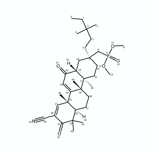 CCC(C)(C)CC[C@]1(CP(=O)(OC)OC)CC[C@]2(C)[C@@H](C1)C(=O)C=C1[C@@]3(C)C=C(C#N)C(=O)C(C)(C)[C@@H]3CC[C@]12C